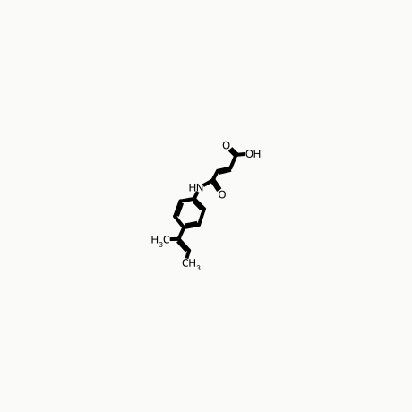 CC=C(C)c1ccc(NC(=O)C=CC(=O)O)cc1